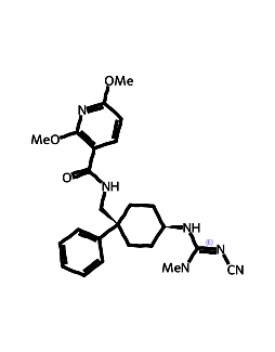 CN/C(=N\C#N)N[C@H]1CC[C@](CNC(=O)c2ccc(OC)nc2OC)(c2ccccc2)CC1